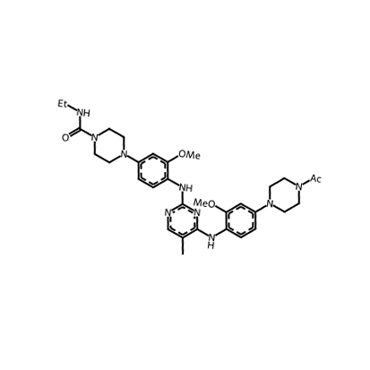 CCNC(=O)N1CCN(c2ccc(Nc3ncc(C)c(Nc4ccc(N5CCN(C(C)=O)CC5)cc4OC)n3)c(OC)c2)CC1